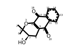 CC1(C)OC2=C(C[C@H]1O)C(=O)c1ccccc1C2=O